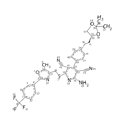 Cc1oc(-c2ccc(C(F)(F)F)cc2)nc1CSc1nc(N)c(C#N)c(-c2ccc(CC[C@H]3COC(C)(C)O3)cc2)c1C#N